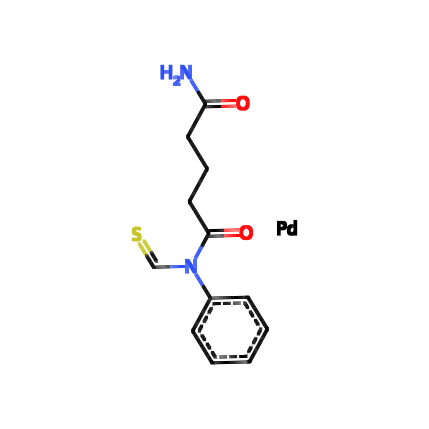 NC(=O)CCCC(=O)N(C=S)c1ccccc1.[Pd]